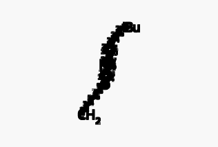 C=CCCCCCCCCOc1ccc(-c2ncc(-c3ccc(CCCCCC(C)CC)cc3)cn2)cc1